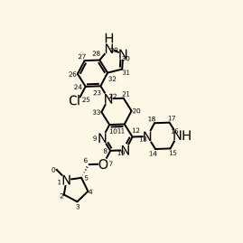 CN1CCC[C@H]1COc1nc2c(c(N3CCNCC3)n1)CCN(c1c(Cl)ccc3[nH]ncc13)C2